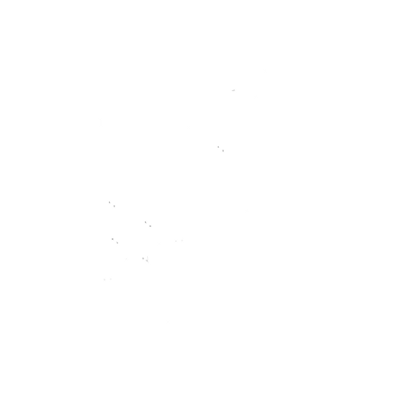 CCCN1C(=O)NC(Nc2ccc(Oc3cncc(C(=O)OC)c3)c(C)c2)N(Cc2ccc(C)cc2)C1=O